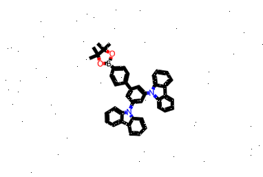 CC1(C)OB(c2ccc(-c3cc(N4c5ccccc5C5C=CC=CC54)cc(-n4c5ccccc5c5ccccc54)c3)cc2)OC1(C)C